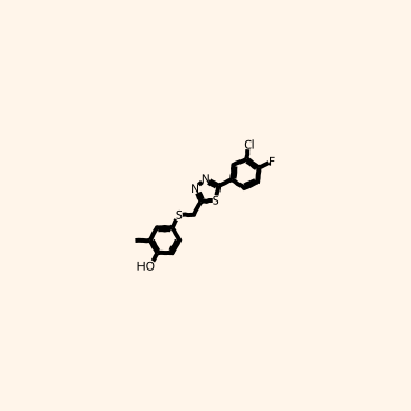 Cc1cc(SCc2nnc(-c3ccc(F)c(Cl)c3)s2)ccc1O